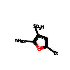 CCCCCCc1oc(CC)cc1S(=O)(=O)O